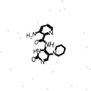 Nc1cccnc1C(=O)Nc1[nH]c(=O)ncc1N1CCCCC1